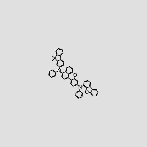 CC1(C)c2ccccc2-c2ccc(N(c3ccccc3)c3ccc4c5c(cccc35)Oc3cc(N(c5ccccc5)c5cccc6c5oc5ccccc56)ccc3-4)cc21